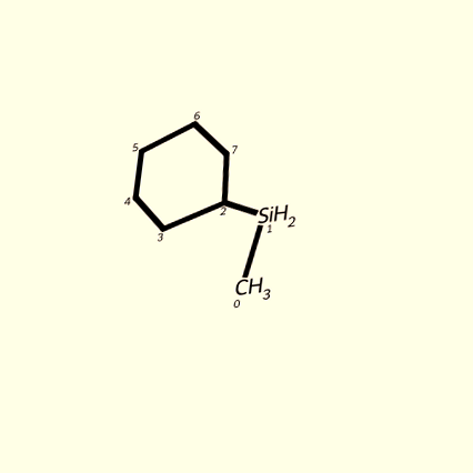 C[SiH2]C1CCCCC1